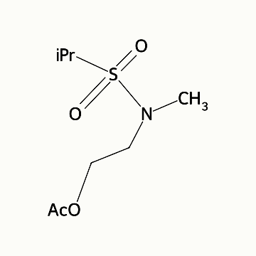 CC(=O)OCCN(C)S(=O)(=O)C(C)C